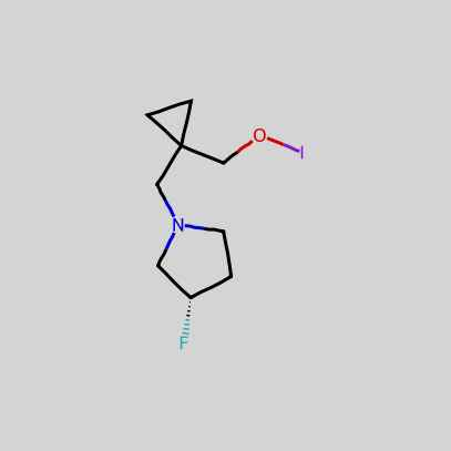 F[C@H]1CCN(CC2(COI)CC2)C1